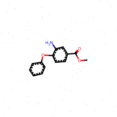 COC(=O)c1ccc(Oc2ccccc2)c(N)c1